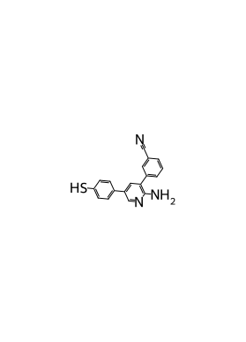 N#Cc1cccc(-c2cc(-c3ccc(S)cc3)cnc2N)c1